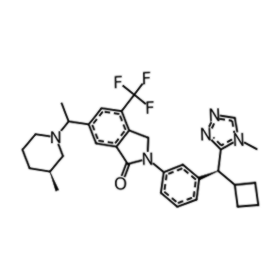 CC(c1cc2c(c(C(F)(F)F)c1)CN(c1cccc([C@@H](c3nncn3C)C3CCC3)c1)C2=O)N1CCC[C@H](C)C1